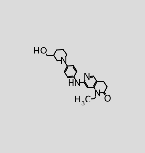 CCN1C(=O)CCc2cnc(Nc3ccc(N4CCCC(CO)C4)cc3)cc21